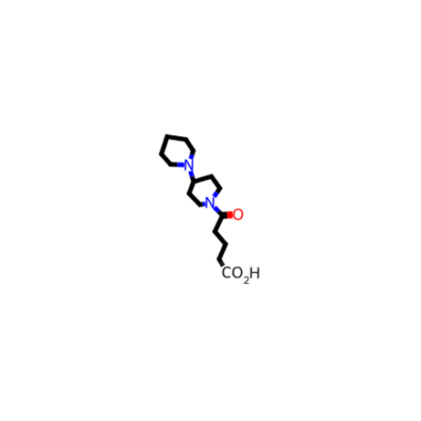 O=C(O)CCCC(=O)N1CCC(N2CCCCC2)CC1